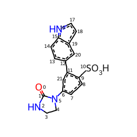 O=C1NCCN1c1ccc(S(=O)(=O)O)c(-c2ccc3[nH]ccc3c2)c1